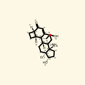 CC[C@]12CC[C@H]3[C@@](N)(CCC4=CC(=O)[C@H]5CC[C@H]5[C@@]43CCO)[C@@H]1CC[C@@H]2O